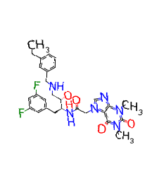 CCc1cccc(CNC[C@H](O)[C@H](Cc2cc(F)cc(F)c2)NC(=O)Cn2cnc3c2c(=O)n(C)c(=O)n3C)c1